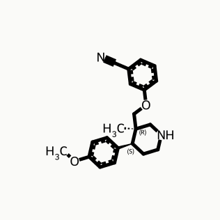 COc1ccc([C@@H]2CCNC[C@]2(C)COc2cccc(C#N)c2)cc1